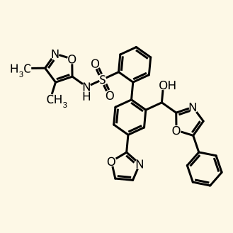 Cc1noc(NS(=O)(=O)c2ccccc2-c2ccc(-c3ncco3)cc2C(O)c2ncc(-c3ccccc3)o2)c1C